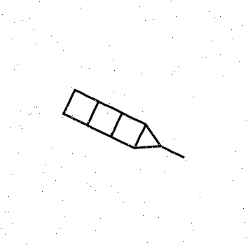 CC1C2C1C1C3CCC3C21